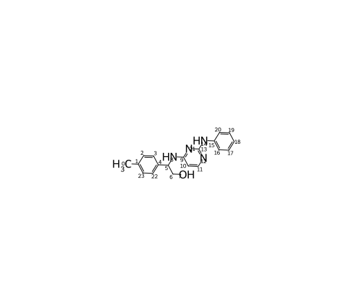 Cc1ccc(C(CO)Nc2ccnc(Nc3ccccc3)n2)cc1